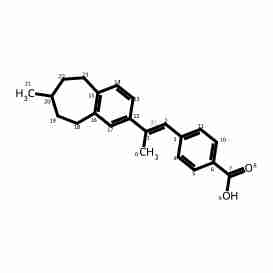 C/C(=C\c1ccc(C(=O)O)cc1)c1ccc2c(c1)CCC(C)CC2